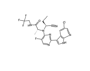 CC[C@@H](C#N)N(c1nc(-c2c[nH]c3ncc(Cl)cc23)ncc1F)[C@H](C)C(=O)NCC(F)(F)F